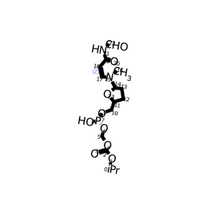 CC(C)OC(=O)OCOP(O)OCC1CCC(N(C)/C=C\C(=O)NC=O)O1